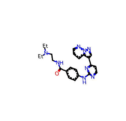 CCN(CC)CCNC(=O)c1ccc(Nc2nccc(-c3cnn4ncccc34)n2)cc1